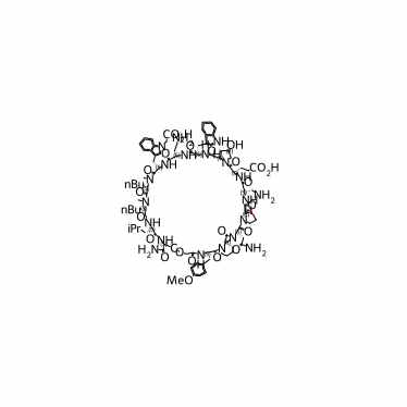 CCCC[C@H]1C(=O)N(C)[C@@H](CCCC)C(=O)N[C@@H](CC(C)C)C(=O)N[C@H](C(N)=O)COCC(=O)N[C@@H](Cc2ccc(OC)cc2)C(=O)N2CCCC[C@@]23C(=O)N3[C@@H](CC(N)=O)C(=O)N2CCC[C@H]2C(=O)N[C@@H](CN)C(=O)N[C@@H](CCC(=O)O)C(=O)N2C[C@H](O)C[C@H]2C(=O)N[C@@H](Cc2c[nH]c3ccccc23)C(=O)N[C@@H](CCN)C(=O)N[C@@H](Cc2cn(CC(=O)O)c3ccccc23)C(=O)N1C